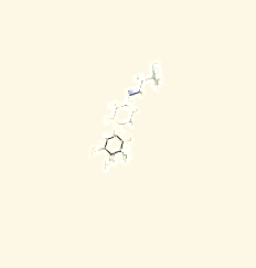 Fc1cc([C@H]2CC[C@H](/C=C/CC(F)F)CC2)cc(F)c1F